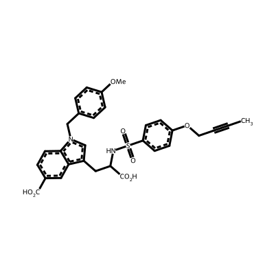 CC#CCOc1ccc(S(=O)(=O)NC(Cc2cn(Cc3ccc(OC)cc3)c3ccc(C(=O)O)cc23)C(=O)O)cc1